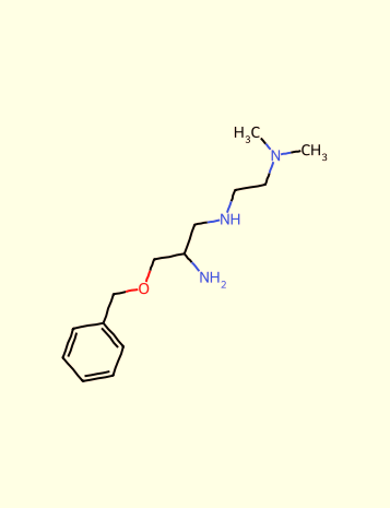 CN(C)CCNCC(N)COCc1ccccc1